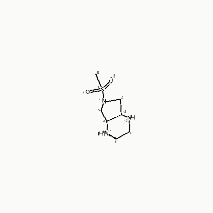 CS(=O)(=O)N1CC2NCCNC2C1